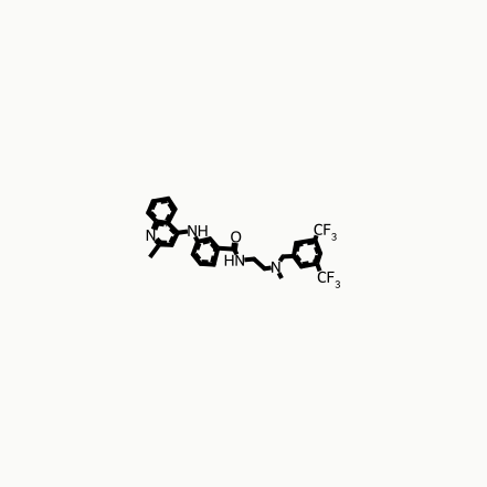 Cc1cc(Nc2cccc(C(=O)NCCN(C)Cc3cc(C(F)(F)F)cc(C(F)(F)F)c3)c2)c2ccccc2n1